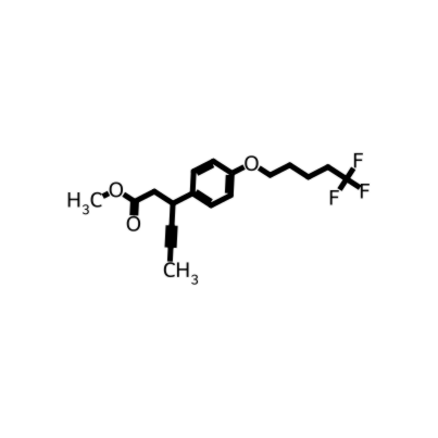 CC#CC(CC(=O)OC)c1ccc(OCCCCC(F)(F)F)cc1